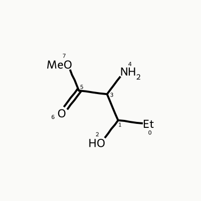 CCC(O)C(N)C(=O)OC